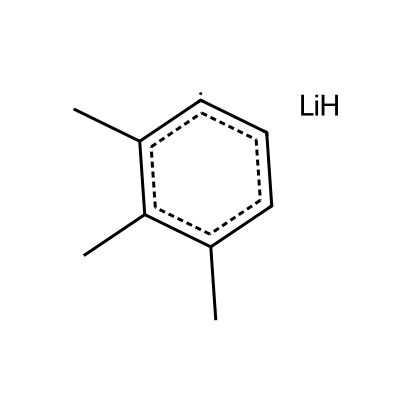 Cc1[c]ccc(C)c1C.[LiH]